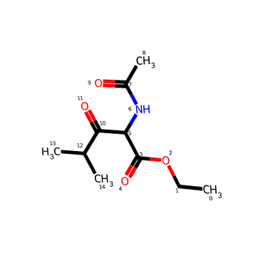 CCOC(=O)C(NC(C)=O)C(=O)C(C)C